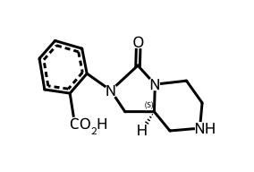 O=C(O)c1ccccc1N1C[C@@H]2CNCCN2C1=O